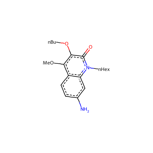 CCCCCCn1c(=O)c(OCCCC)c(OC)c2ccc(N)cc21